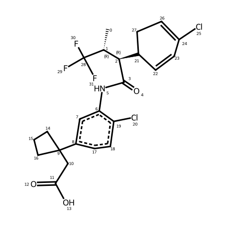 C[C@H]([C@H](C(=O)Nc1cc(C2(CC(=O)O)CCC2)ccc1Cl)C1C=CC(Cl)=CC1)C(F)(F)F